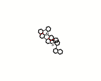 c1ccc(-c2ccccc2N(c2ccc(-c3cccc(-c4cccc5ccccc45)c3)cc2)c2ccccc2-c2ccc3sc4ccccc4c3c2)cc1